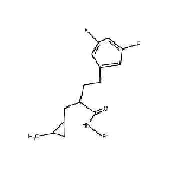 CC(C)NC(=O)C(CCc1cc(F)cc(F)c1)CC1CC1C